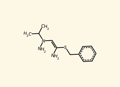 CC(C)N(N)/C=C(\N)SCc1ccccc1